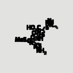 C=CCn1nnnc1SCC1=C(C(=O)O)N2C(=O)C(NC(=O)/C(=N\OCSC)c3csc(N)n3)[C@H]2SC1